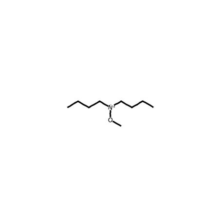 CCCC[N+](CCCC)OC